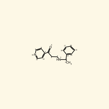 CC(NCCC(=O)c1ccncc1)c1ccccc1